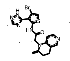 C=C1CCc2cnccc2N1CC(=O)Nc1scc(Br)c1-c1ncn[nH]1